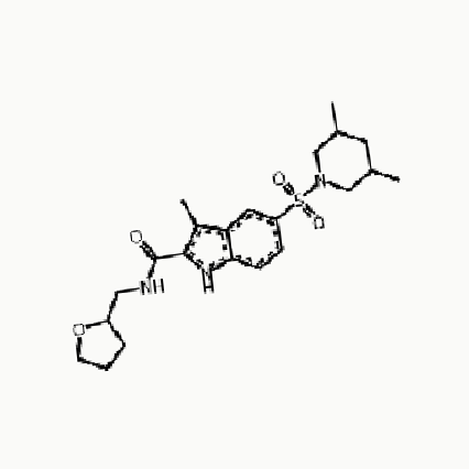 Cc1c(C(=O)NCC2CCCO2)[nH]c2ccc(S(=O)(=O)N3CC(C)CC(C)C3)cc12